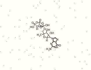 C[C@]1(COP(=O)(O)OP(=O)(O)OP(=O)(O)O)O[C@H]2C(n3cnc4c(=O)[nH]c(N)nc43)[C@]2(O)[C@@H]1O